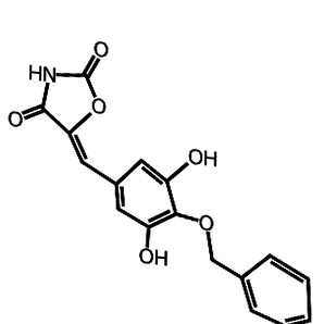 O=C1NC(=O)C(=Cc2cc(O)c(OCc3ccccc3)c(O)c2)O1